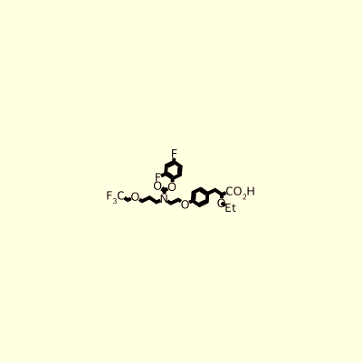 CCOC(Cc1ccc(OCCN(CCCOCC(F)(F)F)C(=O)Oc2ccc(F)cc2F)cc1)C(=O)O